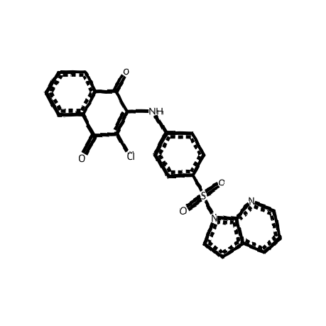 O=C1C(Cl)=C(Nc2ccc(S(=O)(=O)n3ccc4cccnc43)cc2)C(=O)c2ccccc21